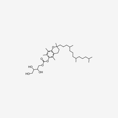 Cc1c(C)c2c(c(C)c1OC(=O)OCC(O)C(O)CO)CCC(C)(CCCC(C)CCCC(C)CCCC(C)C)O2